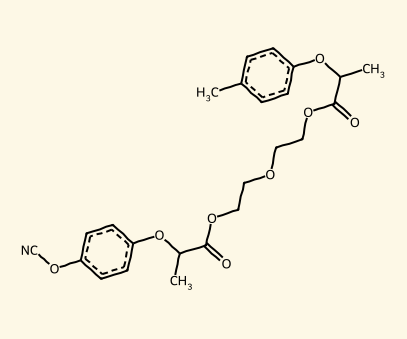 Cc1ccc(OC(C)C(=O)OCCOCCOC(=O)C(C)Oc2ccc(OC#N)cc2)cc1